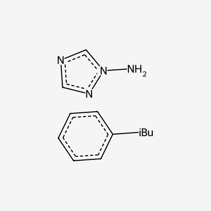 CCC(C)c1ccccc1.Nn1cncn1